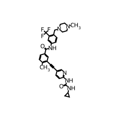 Cc1ccc(C(=O)Nc2ccc(CN3CCN(C)CC3)c(C(F)(F)F)c2)cc1C#Cc1ccc(NC(=O)NC2CC2)nc1